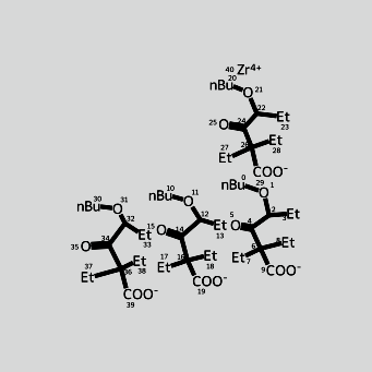 CCCCOC(CC)C(=O)C(CC)(CC)C(=O)[O-].CCCCOC(CC)C(=O)C(CC)(CC)C(=O)[O-].CCCCOC(CC)C(=O)C(CC)(CC)C(=O)[O-].CCCCOC(CC)C(=O)C(CC)(CC)C(=O)[O-].[Zr+4]